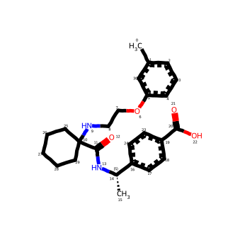 Cc1cccc(OCCNC2(C(=O)N[C@@H](C)c3ccc(C(=O)O)cc3)CCCCC2)c1